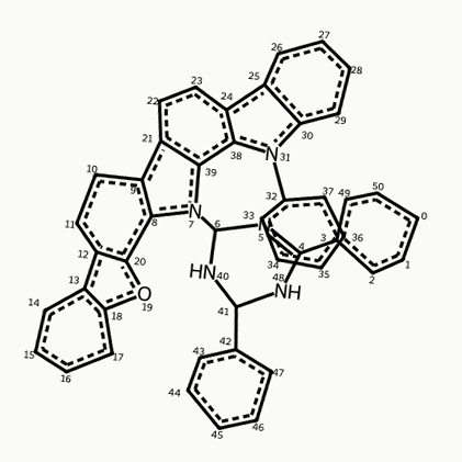 c1ccc(C2=NC(n3c4c(ccc5c6ccccc6oc54)c4ccc5c6ccccc6n(-c6ccccc6)c5c43)NC(c3ccccc3)N2)cc1